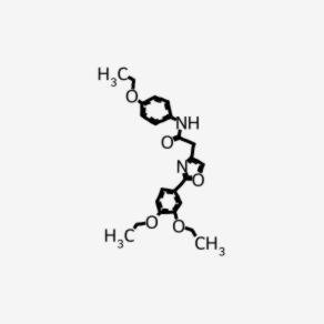 CCOc1ccc(NC(=O)Cc2coc(-c3ccc(OCC)c(OCC)c3)n2)cc1